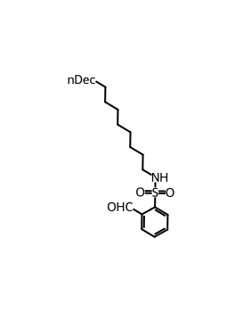 CCCCCCCCCCCCCCCCCCNS(=O)(=O)c1ccccc1C=O